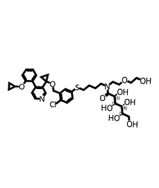 O=C([C@@H](O)[C@@H](O)[C@H](O)[C@@H](O)CO)N(CCCCSc1ccc(Cl)c(COC2(c3cnccc3-c3ccccc3OC3CC3)CC2)c1)CCOCCO